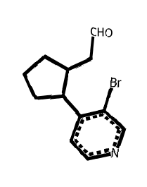 O=CCC1CCCC1c1ccncc1Br